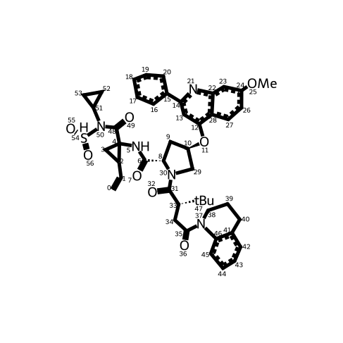 C=CC1CC1(NC(=O)[C@@H]1C[C@@H](Oc2cc(-c3ccccc3)nc3cc(OC)ccc23)CN1C(=O)[C@@H](CC(=O)N1CCCc2ccccc21)C(C)(C)C)C(=O)N(C1CC1)[SH](=O)=O